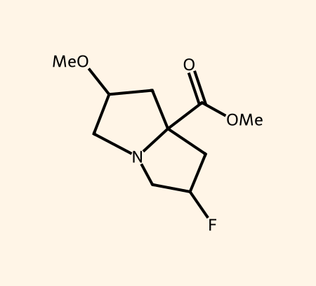 COC(=O)C12CC(F)CN1CC(OC)C2